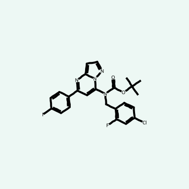 CC(C)(C)OC(=O)N(Cc1ccc(Cl)cc1F)c1cc(-c2ccc(I)cc2)nc2ccnn12